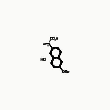 COc1ccc2cc([C@H](C)C(=O)O)ccc2c1.Cl